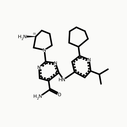 CC(C)c1cc(Nc2nc(N3CCC[C@H](N)C3)ncc2C(N)=O)cc(C2CCCCC2)n1